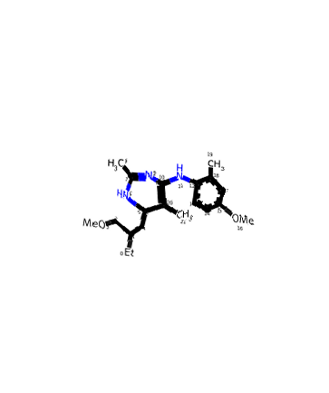 CCC(COC)CC1NC(C)=NC(Nc2ccc(OC)cc2C)=C1C